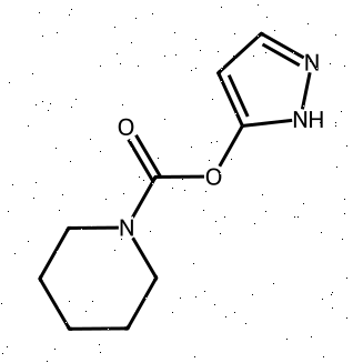 O=C(Oc1ccn[nH]1)N1CCCCC1